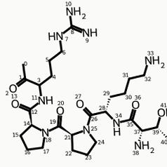 CC(=O)C(CCCNC(=N)N)NC(=O)[C@@H]1CCCN1C(=O)[C@@H]1CCCN1C(=O)[C@H](CCCCN)NC(=O)[C@@H](N)[C@@H](C)O